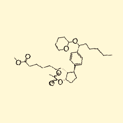 CCCCCC(OC1CCCCO1)c1ccc([C@H]2CC[C@H](OS(C)(=O)=O)[C@@H]2CCCCCCC(=O)OC)cc1